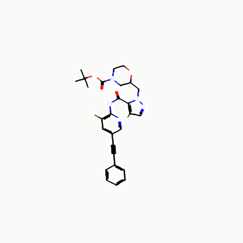 CC(C)(C)OC(=O)N1CCOC(Cn2ncc(Cl)c2C(=O)Nc2ncc(C#Cc3ccccc3)cc2F)C1